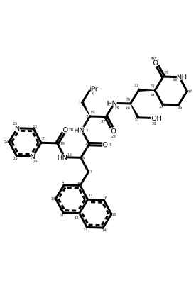 CC(C)C[C@H](NC(=O)C(Cc1cccc2ccccc12)NC(=O)c1cnccn1)C(=O)N[C@H](CO)C[C@@H]1CCCNC1=O